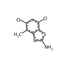 Cc1c(Cl)cc(Cl)c2sc(N)nc12